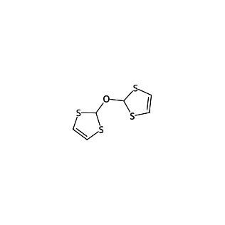 C1=CSC(OC2SC=CS2)S1